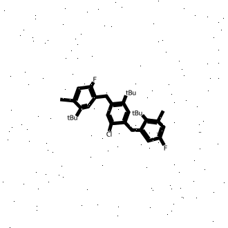 Cc1cc(F)c(Cc2cc(Cl)c(Cc3cc(F)cc(C)c3C(C)(C)C)cc2C(C)(C)C)cc1C(C)(C)C